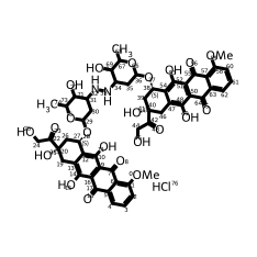 COc1cccc2c1C(=O)c1c(O)c3c(c(O)c1C2=O)C[C@@](O)(C(=O)CO)C[C@@H]3OC1CC(NNC2CC(O[C@H]3C[C@](O)(C(=O)CO)Cc4c(O)c5c(c(O)c43)C(=O)c3c(OC)cccc3C5=O)OC(C)C2O)C(O)C(C)O1.Cl